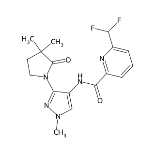 Cn1cc(NC(=O)c2cccc(C(F)F)n2)c(N2CCC(C)(C)C2=O)n1